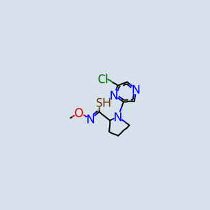 CO/N=C(\S)C1CCCN1c1cncc(Cl)n1